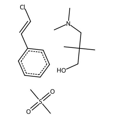 CN(C)CC(C)(C)CO.CS(C)(=O)=O.ClC=Cc1ccccc1